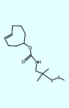 CSSC(C)(C)CNC(=O)OC1CC/C=C/CCC1